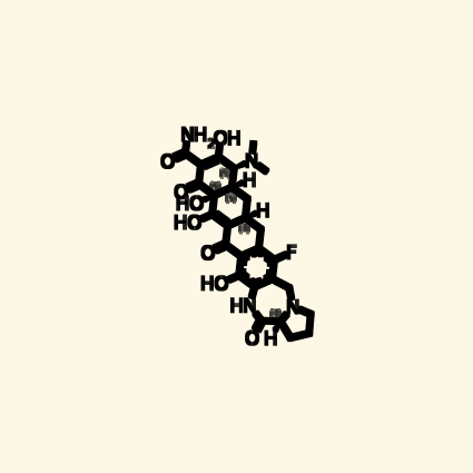 CN(C)[C@@H]1C(O)=C(C(N)=O)C(=O)[C@@]2(O)C(O)=C3C(=O)c4c(O)c5c(c(F)c4C[C@H]3C[C@@H]12)CN1CCC[C@@H]1C(=O)N5